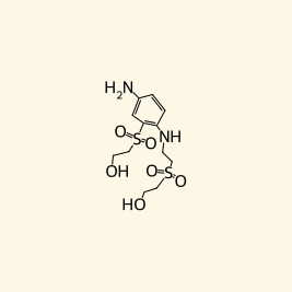 Nc1ccc(NCCS(=O)(=O)CCO)c(S(=O)(=O)CCO)c1